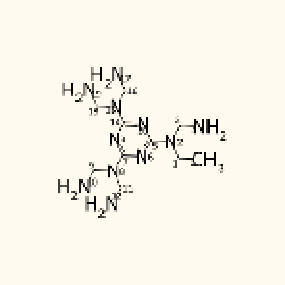 CCN(CN)c1nc(N(CN)CN)nc(N(CN)CN)n1